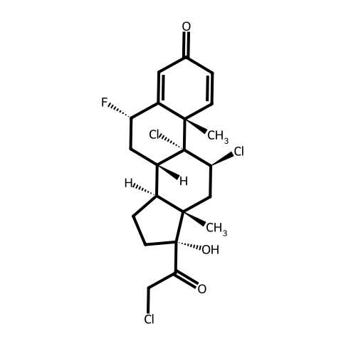 C[C@]12C=CC(=O)C=C1[C@@H](F)C[C@H]1[C@@H]3CC[C@](O)(C(=O)CCl)[C@@]3(C)C[C@H](Cl)[C@@]12Cl